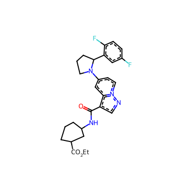 CCOC(=O)C1CCCC(NC(=O)c2cnn3ccc(N4CCCC4c4cc(F)ccc4F)cc23)C1